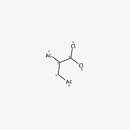 CC(=O)CC(C(C)=O)C(Cl)Cl